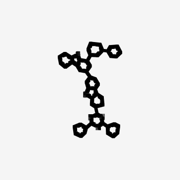 c1ccc(-c2cccc(-c3cc(-c4ccc5c(c4)sc4cc(-c6nc(-c7ccccc7)nc(-c7ccccc7)n6)ccc45)cc4c3sc3ccccc34)c2)cc1